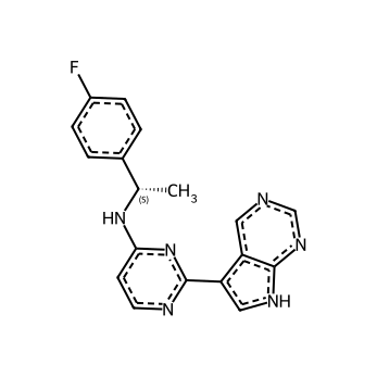 C[C@H](Nc1ccnc(-c2c[nH]c3ncncc23)n1)c1ccc(F)cc1